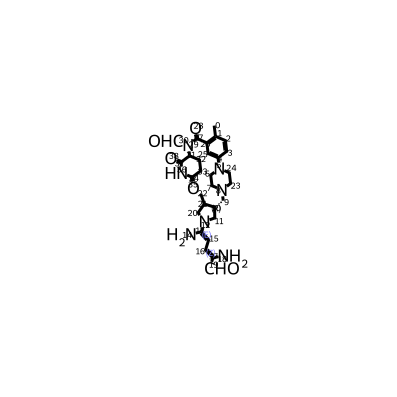 Cc1ccc(N2CCN(C[C@@H]3CN(/C(N)=C/C=C(\N)C=O)CC3C)CC2)cc1C(=O)N(C=O)C1CCC(=O)NC1=O